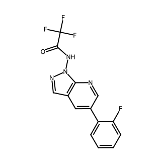 O=C(Nn1ncc2cc(-c3ccccc3F)cnc21)C(F)(F)F